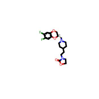 O=C1OCCN1CCC1CCN(C[C@H]2COc3cc(F)c(F)cc3O2)CC1